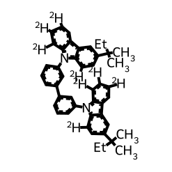 [2H]c1cc2c3cc(C(C)(C)CC)cc([2H])c3n(-c3cccc(-c4cccc(-n5c6c([2H])cc(C(C)(C)CC)cc6c6cc([2H])c([2H])c([2H])c65)c4)c3)c2c([2H])c1[2H]